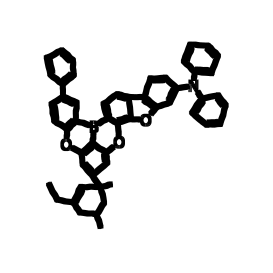 CCC1=CC(C)(c2cc3c4c(c2)Oc2c(ccc5c2oc2cc(N(c6ccccc6)c6ccccc6)ccc25)B4c2cc(-c4ccccc4)ccc2O3)CC(C)C1